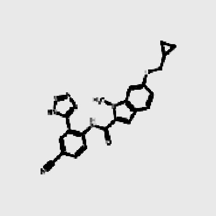 Cn1c(C(=O)Nc2ccc(C#N)cc2-c2nnn[nH]2)cc2ccc(OCC3CC3)cc21